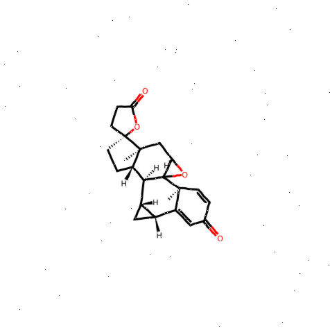 C[C@]12C=CC(=O)C=C1[C@@H]1C[C@@H]1[C@H]1[C@@H]3CC[C@@]4(CCC(=O)O4)[C@@]3(C)C[C@H]3OC132